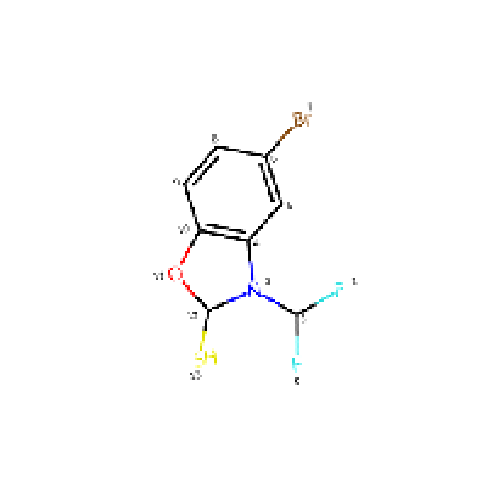 FC(F)N1c2cc(Br)ccc2OC1S